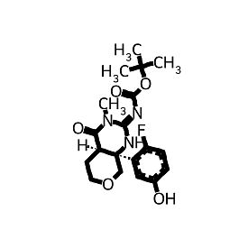 CN1C(=O)[C@@H]2CCOC[C@]2(c2cc(O)ccc2F)N/C1=N/C(=O)OC(C)(C)C